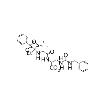 CCC1(S(=O)(=O)c2ccccc2)NC(C(=O)NC(CNC(=O)NCc2ccccc2)C(=O)O)C(C)(C)S1